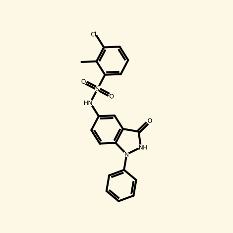 Cc1c(Cl)cccc1S(=O)(=O)Nc1ccc2c(c1)c(=O)[nH]n2-c1ccccc1